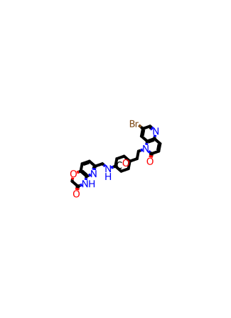 O=C1COc2ccc(CNC34CCC(CCn5c(=O)ccc6ncc(Br)cc65)(CC3)OC4)nc2N1